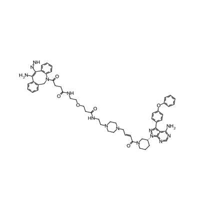 N=N/C1=C(\N)c2ccccc2CN(C(=O)CCC(=O)NCCOCCC(=O)NCCN2CCN(C/C=C/C(=O)N3CCC[C@@H](n4nc(-c5ccc(Oc6ccccc6)cc5)c5c(N)ncnc54)C3)CC2)c2ccccc21